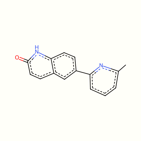 Cc1cccc(-c2ccc3[nH]c(=O)ccc3c2)n1